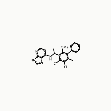 COc1c(-c2ccccc2)c(C)c(Cl)c(Cl)c1C(C)Nc1ncnc2[nH]cnc12